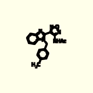 CC(=O)Nc1nonc1-c1nc2ccccc2n1Cc1ccc(C)cc1